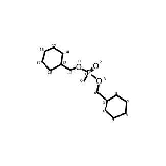 CP(=O)(OCC1CCCCC1)OCC1CCCCC1